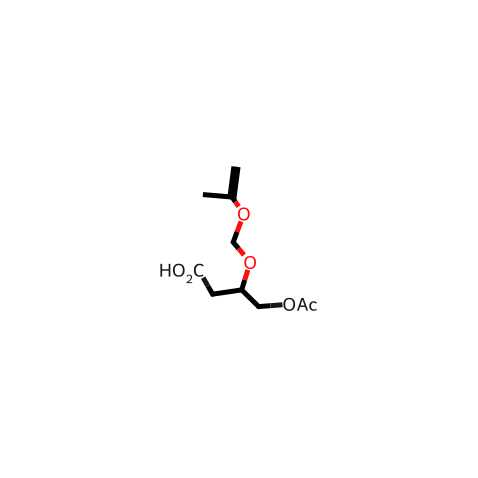 C=C(C)OCOC(COC(C)=O)CC(=O)O